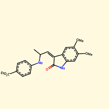 CCOC(=O)c1ccc(NC(C)C=C2C(=O)Nc3cc(OC)c(OC)cc32)cc1